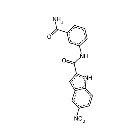 NC(=O)c1cccc(NC(=O)c2cc3cc([N+](=O)[O-])ccc3[nH]2)c1